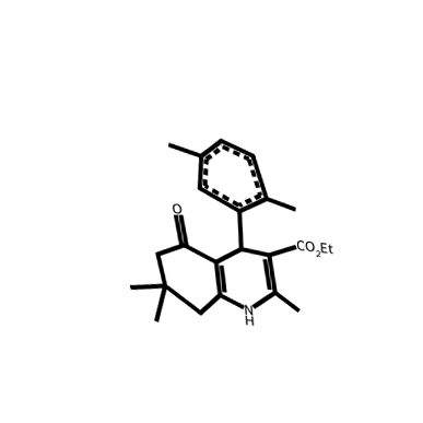 CCOC(=O)C1=C(C)NC2=C(C(=O)CC(C)(C)C2)C1c1cc(C)ccc1C